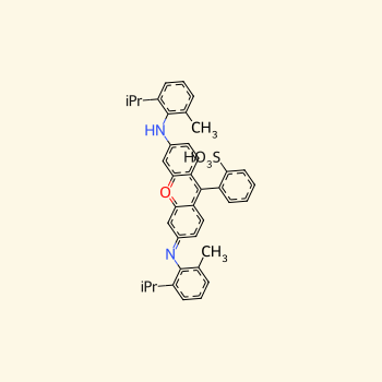 Cc1cccc(C(C)C)c1/N=c1\ccc2c(-c3ccccc3S(=O)(=O)O)c3ccc(Nc4c(C)cccc4C(C)C)cc3oc-2c1